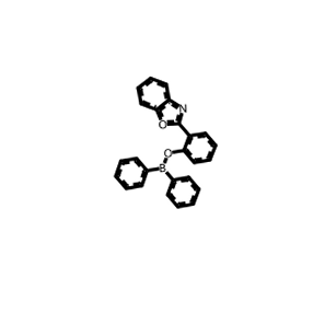 c1ccc(B(Oc2ccccc2-c2nc3ccccc3o2)c2ccccc2)cc1